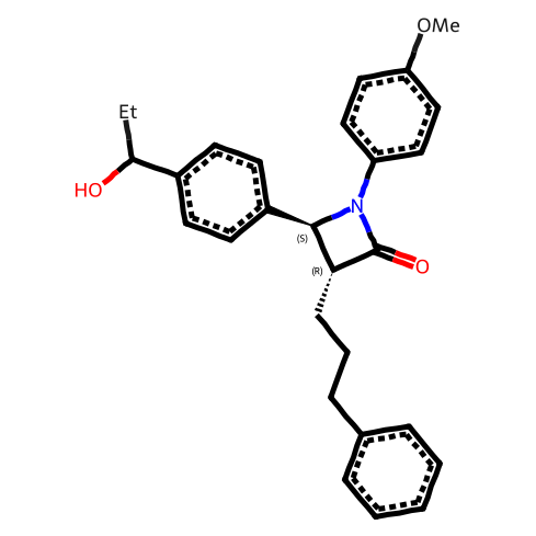 CCC(O)c1ccc([C@@H]2[C@@H](CCCc3ccccc3)C(=O)N2c2ccc(OC)cc2)cc1